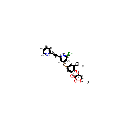 CCC(Oc1ccc(Sc2cc(Br)nc(C#Cc3ccccn3)c2)cc1C)C(=O)O